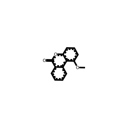 COc1cccc2oc(=O)c3ccccc3c12